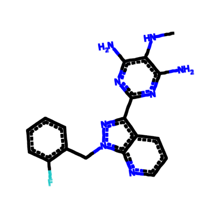 CNc1c(N)nc(-c2nn(Cc3ccccc3F)c3ncccc23)nc1N